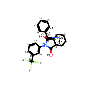 O=C1C2C3CCC(C2C(=O)N1c1cccc(C(F)(F)F)c1)N(Cc1ccccc1)C3